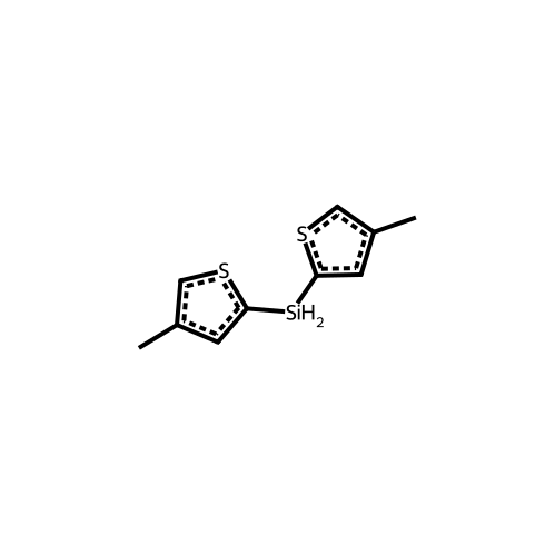 Cc1csc([SiH2]c2cc(C)cs2)c1